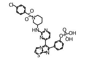 O=P(O)(O)Oc1cccc(-c2nc3sccn3c2-c2ccnc(NC3CCCN(S(=O)(=O)c4ccc(Cl)cc4)C3)n2)c1